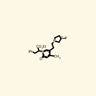 CCOC(=O)C(CC(C)C)n1cc(CCN2CC[C@@H](F)C2)c(C)cc1=O